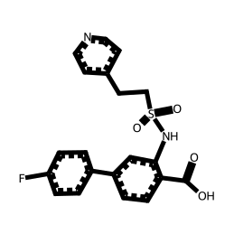 O=C(O)c1ccc(-c2ccc(F)cc2)cc1NS(=O)(=O)CCc1ccncc1